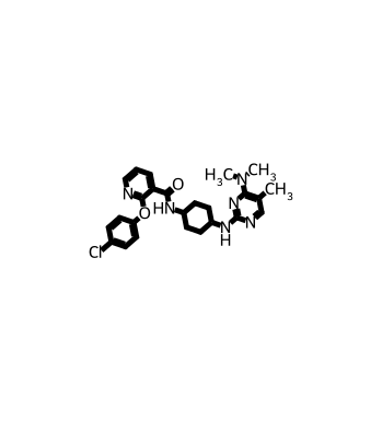 Cc1cnc(NC2CCC(NC(=O)c3cccnc3Oc3ccc(Cl)cc3)CC2)nc1N(C)C